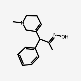 CC(=NO)C(C1=CCCN(C)C1)c1ccccc1